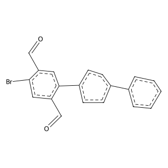 O=Cc1cc(-c2ccc(-c3ccccc3)cc2)c(C=O)cc1Br